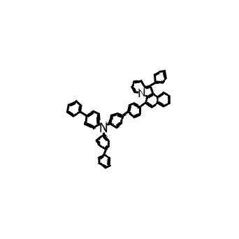 c1ccc(-c2ccc(N(c3ccc(-c4ccccc4)cc3)c3ccc(-c4ccc(-c5cc6ccccc6c6c(-c7ccccc7)c7ccccn7c56)cc4)cc3)cc2)cc1